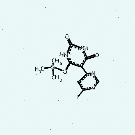 C[Si](C)(C)Oc1[nH]c(=O)[nH]c(=O)c1-c1cc(I)ncn1